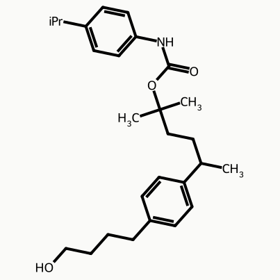 CC(C)c1ccc(NC(=O)OC(C)(C)CCC(C)c2ccc(CCCCO)cc2)cc1